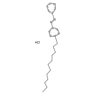 CCCCCCCCCCCCc1ccc(N=Nc2ccccc2)cc1.Cl